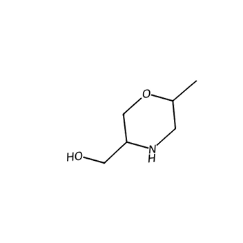 CC1CNC(CO)CO1